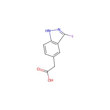 O=C(O)Cc1ccc2[nH]nc(I)c2c1